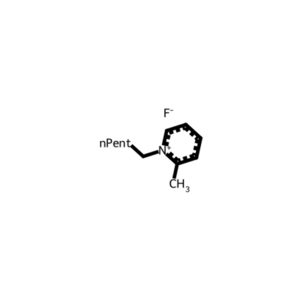 CCCCCC[n+]1ccccc1C.[F-]